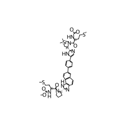 COC(=O)N[C@@H](CCSC)C(=O)N1C[Si](C)(C)C[C@H]1c1ncc(-c2ccc(-c3ccc4c(ccc5nc([C@@H]6CCCN6C(=O)[C@H](CCSC)NC(=O)OC)[nH]c54)c3)cc2)[nH]1